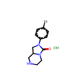 CCc1ccc(N2CC3CNCCN3C2=O)cc1.Cl